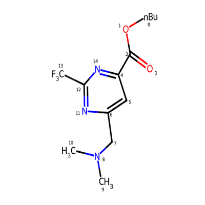 CCCCOC(=O)c1cc(CN(C)C)nc(C(F)(F)F)n1